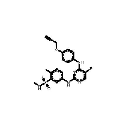 C#CCOc1ccc(Nc2nc(Nc3ccc(C)c(S(=O)(=O)NC)c3)ncc2F)cc1